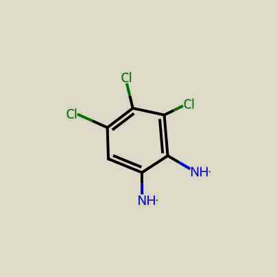 [NH]c1cc(Cl)c(Cl)c(Cl)c1[NH]